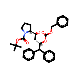 CC(C)(C)OC(=O)N1CCC[C@H]1C(=O)C[C@H](OC(=O)OCc1ccccc1)C(c1ccccc1)c1ccccc1